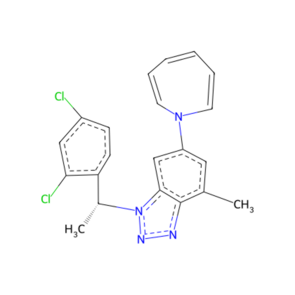 Cc1cc(N2C=CC=CC=C2)cc2c1nnn2[C@H](C)c1ccc(Cl)cc1Cl